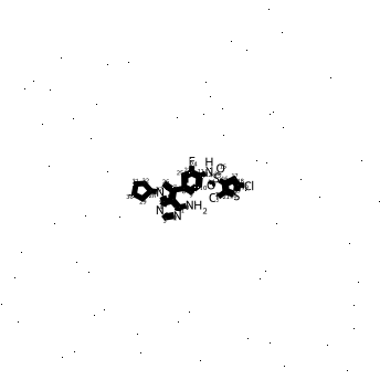 Nc1ncnc2c1c(-c1ccc(NS(=O)(=O)c3cc(Cl)sc3Cl)c(F)c1)cn2C1CCCC1